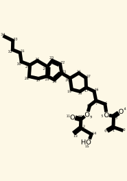 C=C(C)C(=O)OCC(COC(=O)C(=C)CO)CC1CCC(c2ccc3c(c2)CCC(CCCCC)C3)CC1